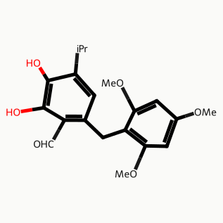 COc1cc(OC)c(Cc2cc(C(C)C)c(O)c(O)c2C=O)c(OC)c1